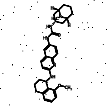 COc1cccc2c1C(Nc1ccc3cc(NC(=O)N[C@H]4C[C@H]5CCC[C@@H](C4)N5C)ccc3n1)CCC2